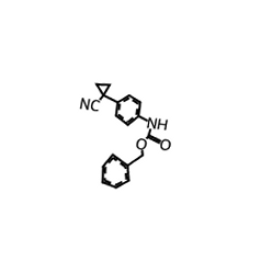 N#CC1(c2ccc(NC(=O)OCc3ccccc3)cc2)CC1